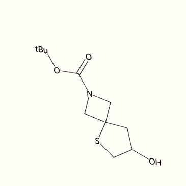 CC(C)(C)OC(=O)N1CC2(CC(O)CS2)C1